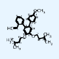 [CH]=Cc1cc[c]cc1-c1cc(OCCC(C)C)c(OCCC(C)C)cc1-c1ccc(OC)cc1